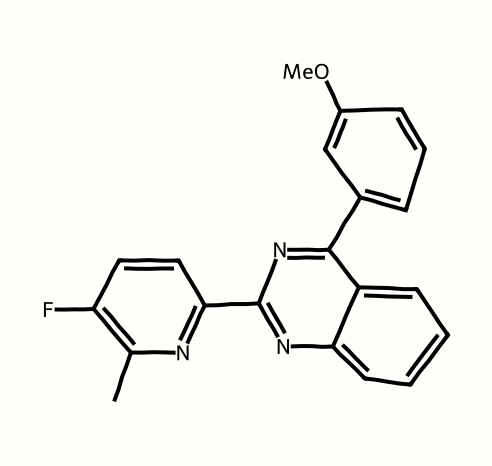 COc1cccc(-c2nc(-c3ccc(F)c(C)n3)nc3ccccc23)c1